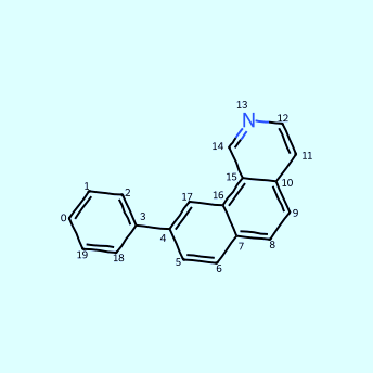 c1ccc(-c2ccc3ccc4ccncc4c3c2)cc1